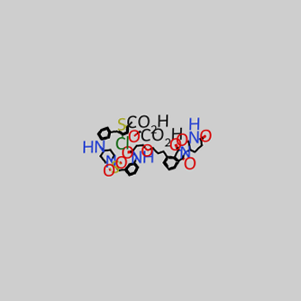 O=C(O)COc1c(C(=O)O)sc(-c2cccc(NC3CCN(S(=O)(=O)Cc4cccc(NC(=O)CCOCCCc5cccc6c5C(=O)N(C5CCC(=O)NC5=O)C6=O)c4)CC3)c2)c1Cl